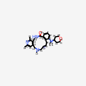 CCN(c1cccc2c1C/C=C/CN(C)Cc1cc(C)nc(C)c1CNC2=O)C1CCOCC1